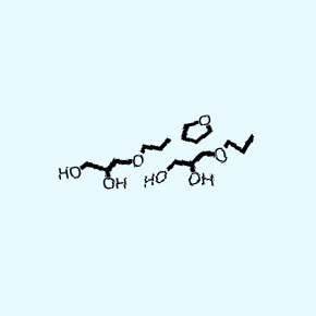 C1CCOC1.CCCOCC(O)CO.CCCOCC(O)CO